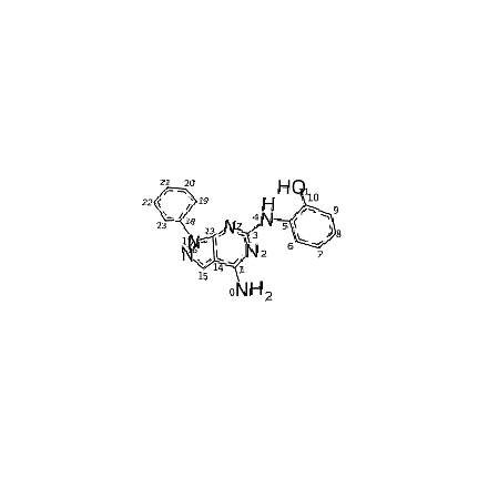 Nc1nc(Nc2ccccc2O)nc2c1cnn2-c1ccccc1